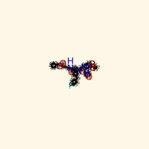 C[C@@H]1COCCN1C[C@H]1CN(C(=O)OC(C)(C)C)[C@H](C)CN1CC(=O)N1C[C@@](C)(C(=O)NCCCC(=O)OCc2ccccc2)c2ccc(Cc3ccc(F)cc3)cc21